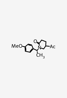 COc1ccc([C@H](C)N2CC(C(C)=O)CCC2=O)cc1